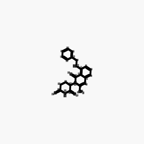 Cc1nc2cccc(NCc3ccccc3)c2c(=O)n1C1CCC(=O)NC1=O